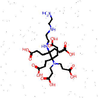 NCCNCCNC(CCC(=O)O)(CCC(=O)O)C(CCC(=O)O)(CCC(=O)O)N(CCC(=O)O)CCC(=O)O